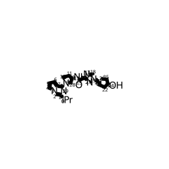 CC(C)c1cn2cccc2c(N2CC[C@H](NC(=O)c3ncn(N4CCC(O)CC4)n3)C2)n1